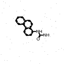 [NH]C(=O)Nc1cccc2c1ccc1ccccc12